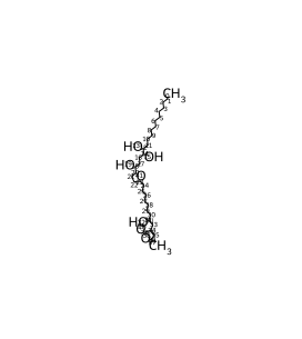 CCCCCCCCCCCCC(O)C(O)CCC(O)C1CCC(CCCCCCC[C@@H](O)CC2=C[C@H](C)OC2=O)O1